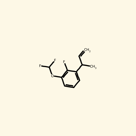 C=C[C](C)c1cccc(OC(F)F)c1F